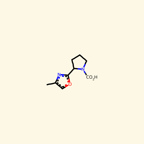 Cc1coc(C2CCCN2C(=O)O)n1